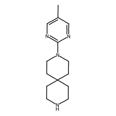 Cc1cnc(N2CCC3(CCNCC3)CC2)nc1